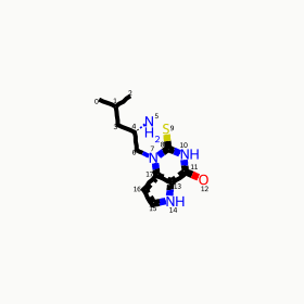 CC(C)C[C@H](N)Cn1c(=S)[nH]c(=O)c2[nH]ccc21